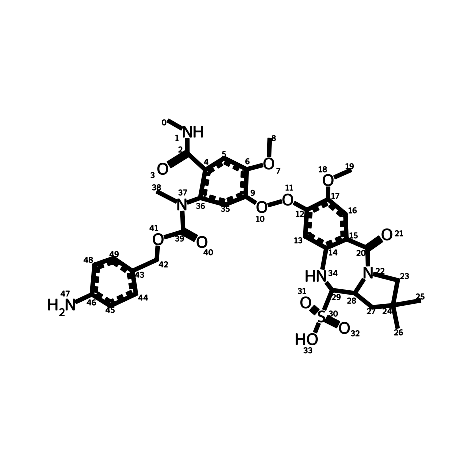 CNC(=O)c1cc(OC)c(OOc2cc3c(cc2OC)C(=O)N2CC(C)(C)CC2C(S(=O)(=O)O)N3)cc1N(C)C(=O)OCc1ccc(N)cc1